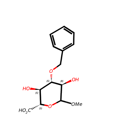 COC1O[C@H](C(=O)O)[C@@H](O)[C@H](OCc2ccccc2)[C@H]1O